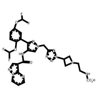 O=C(O)NCCN1CC(n2nnc(Cn3cc(NC(=O)c4cnn5cccnc45)c(-c4cc(OC(F)F)ccc4OC(F)F)n3)n2)C1